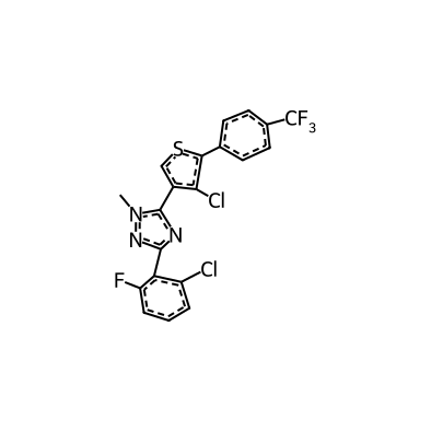 Cn1nc(-c2c(F)cccc2Cl)nc1-c1csc(-c2ccc(C(F)(F)F)cc2)c1Cl